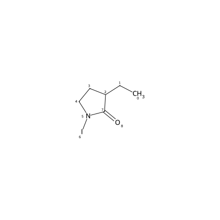 CCC1CCN(I)C1=O